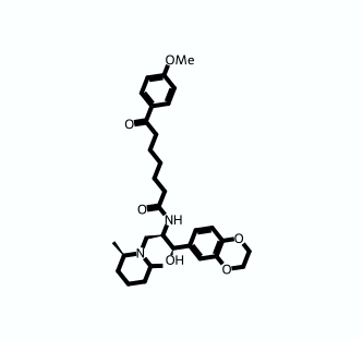 COc1ccc(C(=O)CCCCCC(=O)N[C@H](CN2C(C)CCC[C@H]2C)[C@@H](O)c2ccc3c(c2)OCCO3)cc1